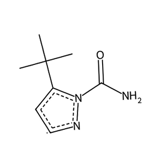 CC(C)(C)c1c[c]nn1C(N)=O